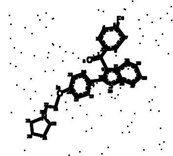 O=C(c1ccc(F)cc1)c1c(-c2ccc(OCCN3CCCC3)cc2)sc2ccccc12